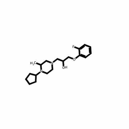 CC1CN(CC(O)COc2ccccc2F)CCN1C1CCCC1